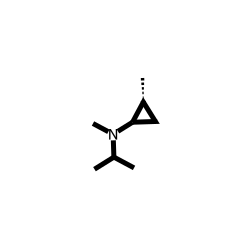 CC(C)N(C)C1C[C@H]1C